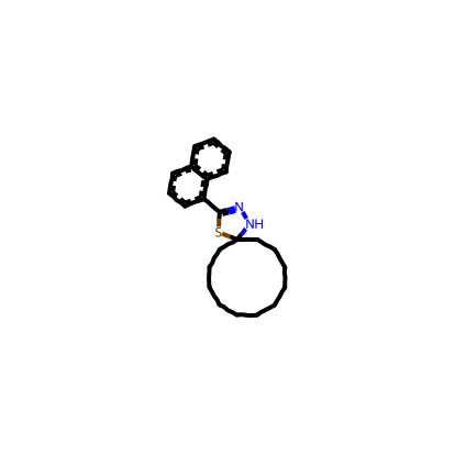 c1ccc2c(C3=NNC4(CCCCCCCCCCC4)S3)cccc2c1